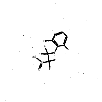 O=S(O)C(F)(F)C(F)(F)Sc1c(F)cccc1F